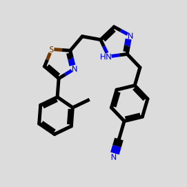 Cc1ccccc1-c1csc(Cc2cnc(Cc3ccc(C#N)cc3)[nH]2)n1